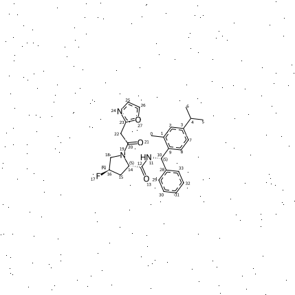 Cc1cc(C(C)C)ccc1[C@@H](NC(=O)[C@@H]1C[C@@H](F)CN1C(=O)Cc1ncco1)c1ccccc1